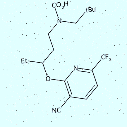 CCC(CCN(CC(C)(C)C)C(=O)O)Oc1nc(C(F)(F)F)ccc1C#N